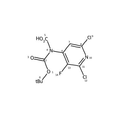 CC(C)(C)OC(=O)N(C(=O)O)c1cc(Cl)nc(Cl)c1F